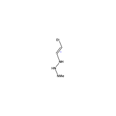 CC/C=C/NNNC